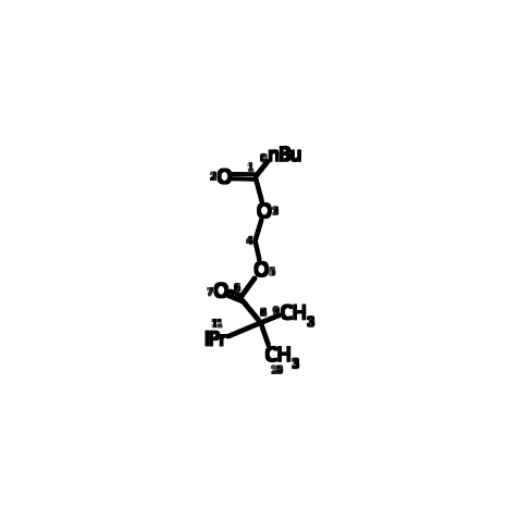 CCCCC(=O)OCOC(=O)C(C)(C)C(C)C